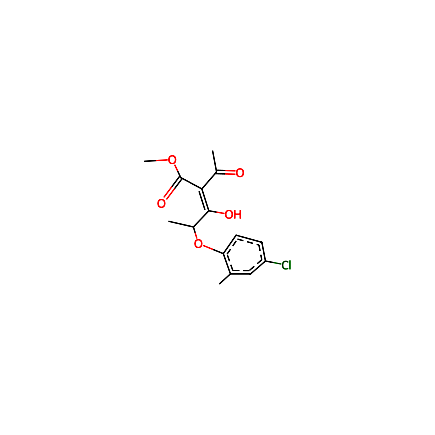 COC(=O)/C(C(C)=O)=C(/O)C(C)Oc1ccc(Cl)cc1C